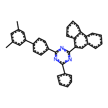 Cc1cc(C)cc(-c2ccc(-c3nc(-c4ccccc4)nc(-c4cc5ccccc5c5ccccc45)n3)cc2)c1